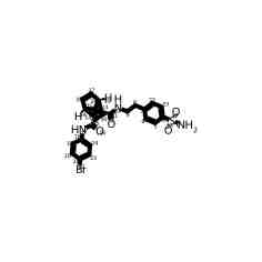 NS(=O)(=O)c1ccc(CCNC(=O)[C@H]2[C@H](C(=O)Nc3ccc(Br)cc3)[C@@H]3C=C[C@H]2C32CC2)cc1